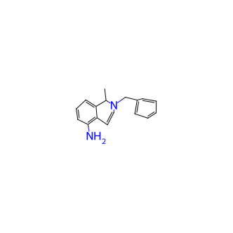 CC1c2cccc(N)c2C=CN1Cc1ccccc1